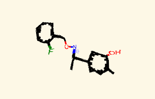 C/C(=N\OCc1ccccc1F)c1ccc(C)c(O)c1